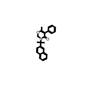 CC1=C(c2ccccc2)C(=O)N(C(C)(C)c2ccc3ccccc3c2)CO1